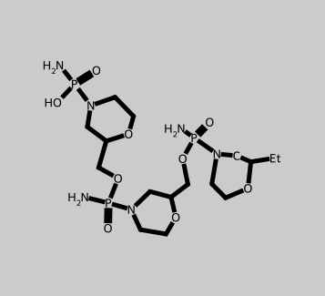 CCC1CN(P(N)(=O)OCC2CN(P(N)(=O)OCC3CN(P(N)(=O)O)CCO3)CCO2)CCO1